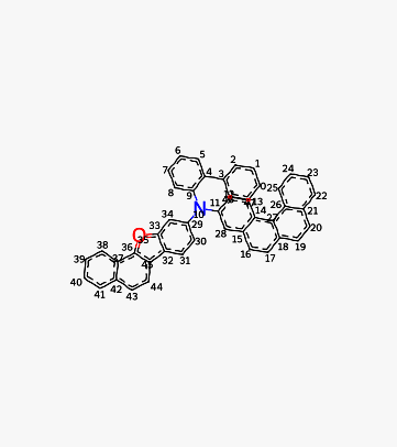 c1ccc(-c2ccccc2N(c2ccc3c(ccc4ccc5ccccc5c43)c2)c2ccc3c(c2)oc2c4ccccc4ccc32)cc1